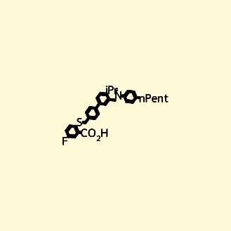 CCCCCc1ccc(N(Cc2cccc(-c3ccc(CSc4ccc(F)cc4C(=O)O)cc3)c2)C(C)C)cc1